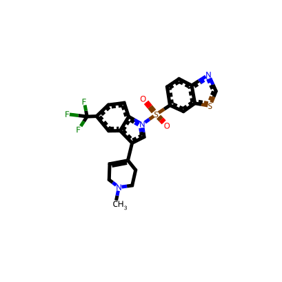 CN1CC=C(c2cn(S(=O)(=O)c3ccc4ncsc4c3)c3ccc(C(F)(F)F)cc23)CC1